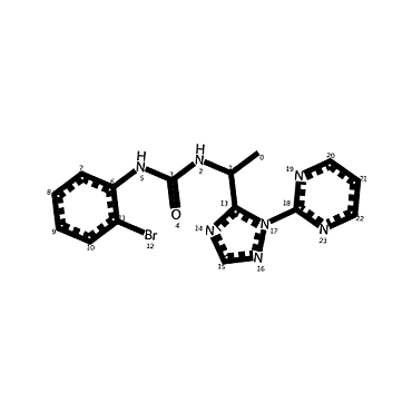 CC(NC(=O)Nc1ccccc1Br)c1ncnn1-c1ncccn1